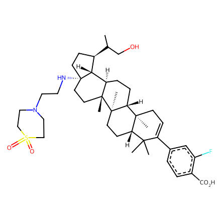 CC(CO)[C@@H]1CC[C@]2(NCCN3CCS(=O)(=O)CC3)CC[C@]3(C)[C@H](CC[C@@H]4[C@@]5(C)CC=C(c6ccc(C(=O)O)c(F)c6)C(C)(C)[C@@H]5CC[C@]43C)[C@@H]12